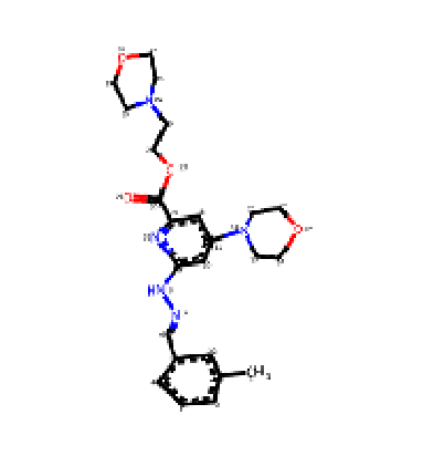 Cc1cccc(C=NNc2cc(N3CCOCC3)cc(C(=O)OCCN3CCOCC3)n2)c1